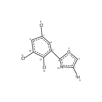 [2H]c1coc(-c2cc(Cl)cc(Cl)c2Cl)n1